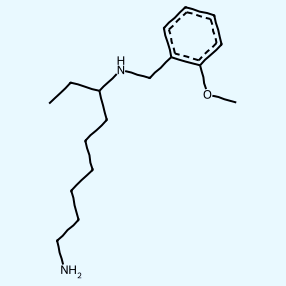 CCC(CCCCCCN)NCc1ccccc1OC